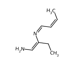 C\C=C/C=N\C(=C/N)CC